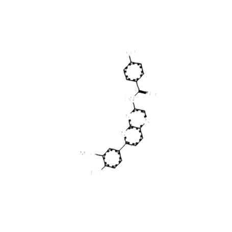 COc1cc(-c2ccc3ncc(NC(=N)c4ccc(C)cc4)nc3n2)ccc1O